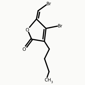 CCCCC1=C(Br)C(=CBr)OC1=O